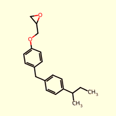 CCC(C)c1ccc(Cc2ccc(OCC3CO3)cc2)cc1